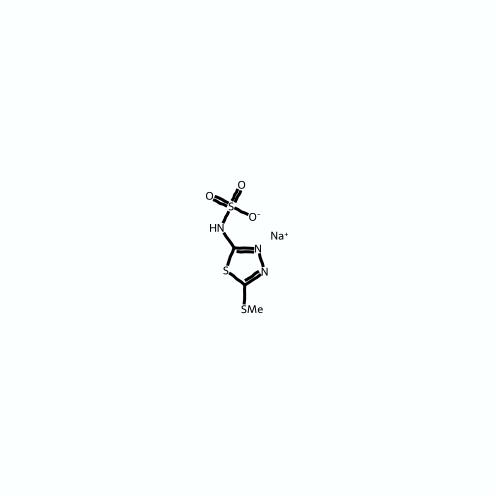 CSc1nnc(NS(=O)(=O)[O-])s1.[Na+]